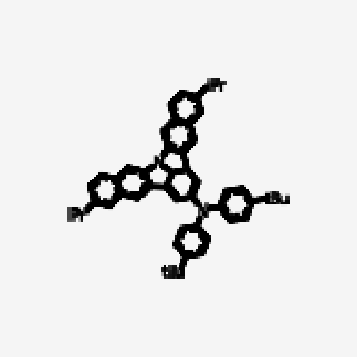 CC(C)c1ccc2cc3c(cc2c1)C1=CC(N(c2ccc(C(C)(C)C)cc2)c2ccc(C(C)(C)C)cc2)=CC2c4cc5cc(C(C)C)ccc5cc4N3C12